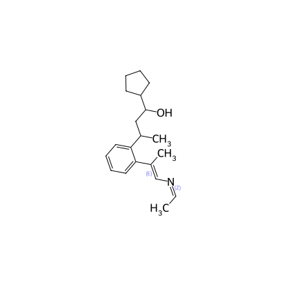 C/C=N\C=C(/C)c1ccccc1C(C)CC(O)C1CCCC1